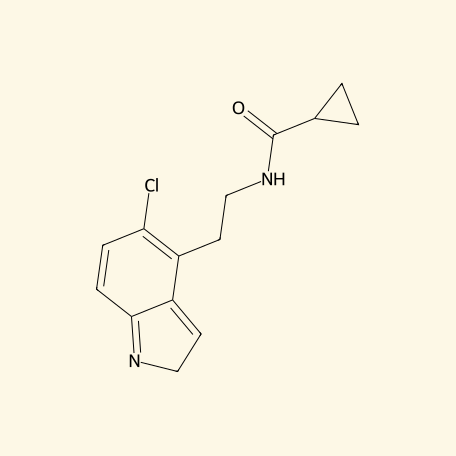 O=C(NCCc1c(Cl)ccc2c1=CCN=2)C1CC1